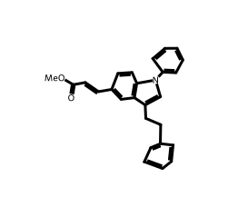 COC(=O)/C=C/c1ccc2c(c1)c(CCc1ccccc1)cn2-c1ccccc1